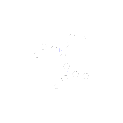 C1=CCCC(C2=CC=CC(C3=CCC(N(C4=CCC(c5ccc(N(c6ccc(-c7ccccc7)cc6)c6ccc(C7C=CC=CC7)cc6)cc5)C=C4)C4=CC=C(c5cccc(C6C=CC=CC6)c5)CC4)C=C3)C2)=C1